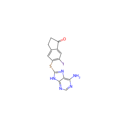 Nc1ncnc2[nH]c(Sc3cc4c(cc3I)C(=O)CC4)nc12